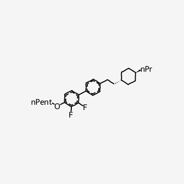 CCCCCOc1ccc(-c2ccc(CC[C@H]3CC[C@H](CCC)CC3)cc2)c(F)c1F